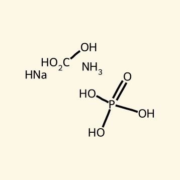 N.O=C(O)O.O=P(O)(O)O.[NaH]